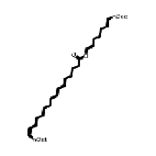 CCCCCCCC/C=C\CCCCCCCCCCCCCC(=O)OCCCCCCCCCCCCCCCCC